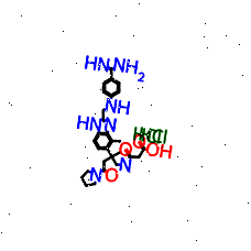 Cc1c(C(C)(CC(=O)N2CCCC2)CN(C)C(=O)CC(=O)O)ccc2[nH]c(CNc3ccc(C(=N)N)cc3)nc12.Cl.Cl